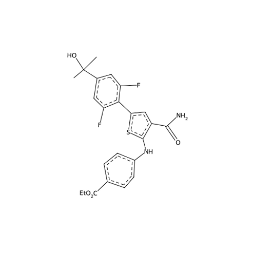 CCOC(=O)c1ccc(Nc2sc(-c3c(F)cc(C(C)(C)O)cc3F)cc2C(N)=O)cc1